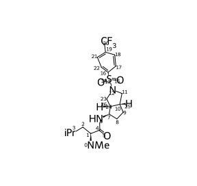 CN[C@@H](CC(C)C)C(=O)N[C@@H]1CC[C@H]2CN(S(=O)(=O)c3ccc(C(F)(F)F)cc3)C[C@H]21